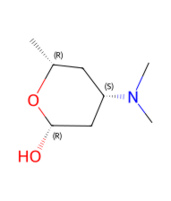 C[C@@H]1C[C@H](N(C)C)C[C@H](O)O1